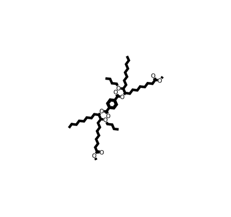 CCCCCCCCC(OCCCC)C(CCCCCCCC(=O)OC)OC(=O)c1ccc(C(=O)OC(CCCCCCCC)C(CCCCCCCC(=O)OC)OCCCC)cc1